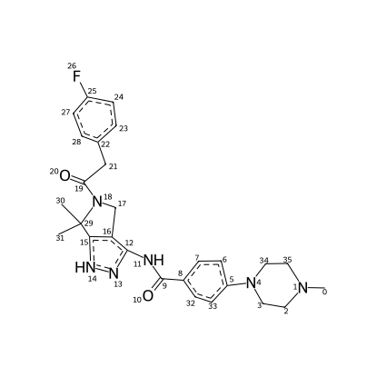 CN1CCN(c2ccc(C(=O)Nc3n[nH]c4c3CN(C(=O)Cc3ccc(F)cc3)C4(C)C)cc2)CC1